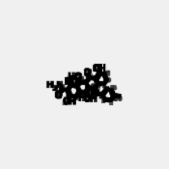 Cc1ccc(/C=C2\c3cccc(O)c3C(=O)C3=C(O)[C@]4(O)C(=O)C(C(N)=O)=C(O)C[C@@H]4[C@@H](O)[C@@H]32)cc1